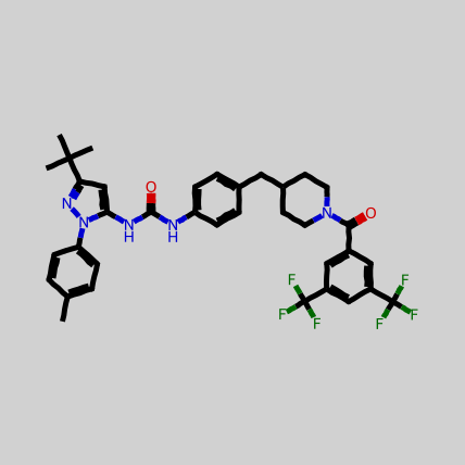 Cc1ccc(-n2nc(C(C)(C)C)cc2NC(=O)Nc2ccc(CC3CCN(C(=O)c4cc(C(F)(F)F)cc(C(F)(F)F)c4)CC3)cc2)cc1